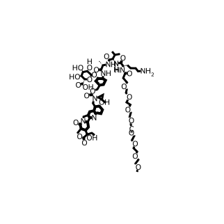 CC[C@@]1(O)C(=O)OCc2c1cc1n(c2=O)Cc2cc3c(CN(C(=O)OCc4ccc(NC(=O)[C@H](C)NC(=O)[C@@H](NC(=O)[C@H](CCCCN)NC(=O)CCOCCOCCOCCOCCOCCOCCOCCOC)C(C)C)c(O[C@@H]5O[C@H](C(=O)O)[C@@H](O)[C@H](O)[C@H]5O)c4)C4CC4C)c(O)ccc3nc2-1